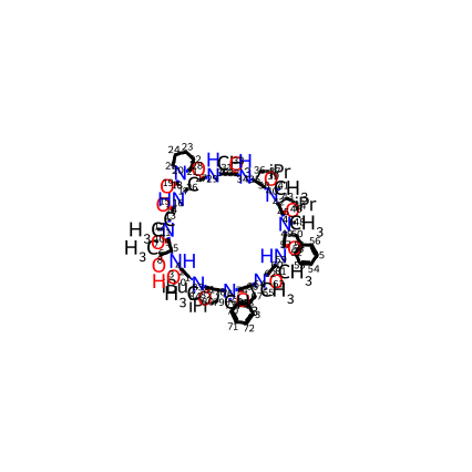 CC[C@H](C)[C@H]1C(=O)N[C@@H]([C@@H](C)O)C(=O)N(C)CC(=O)N[C@H](C(=O)N2CCCCC2)CC(=O)N[C@H](C)C(=O)N[C@@H](CC(C)C)C(=O)N(C)[C@@H](CC(C)C)C(=O)N(C)[C@@H](Cc2ccccc2)C(=O)N[C@@H](C)C(=O)N(C)[C@@H](Cc2ccccc2)C(=O)N(C)[C@@H](CC(C)C)C(=O)N1C